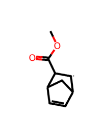 COC(=O)C1[CH]C2C=CC1C2